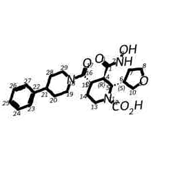 O=C(NO)[C@H]1C([C@@H]2CCOC2)N(C(=O)O)CC[C@@H]1C(=O)N1CCC(c2ccccc2)CC1